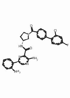 Nc1ccccc1-c1cnc(N)c(C(=O)N[C@@H]2CCN(C(=O)c3ccc(-c4ccc(F)cc4Cl)cc3)C2)n1